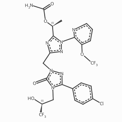 C[C@H](OC(N)=O)c1nc(Cn2nc(-c3ccc(Cl)cc3)n(C[C@H](O)C(F)(F)F)c2=O)nn1-c1ncccc1OC(F)(F)F